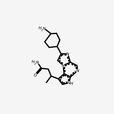 CC(CC(N)=O)c1c[nH]c2ncc3nc(C4CCC(N)CC4)cn3c12